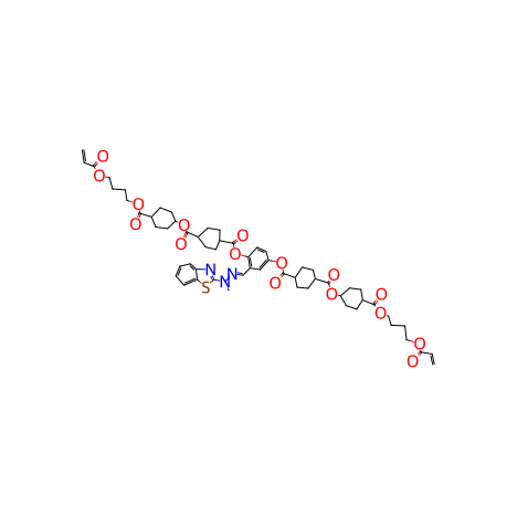 C=CC(=O)OCCCCOC(=O)C1CCC(OC(=O)C2CCC(C(=O)Oc3ccc(OC(=O)C4CCC(C(=O)OC5CCC(C(=O)OCCCCOC(=O)C=C)CC5)CC4)c(/C=N/N(C)c4nc5ccccc5s4)c3)CC2)CC1